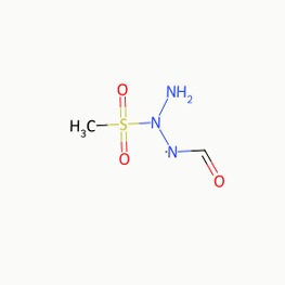 CS(=O)(=O)N(N)[N]C=O